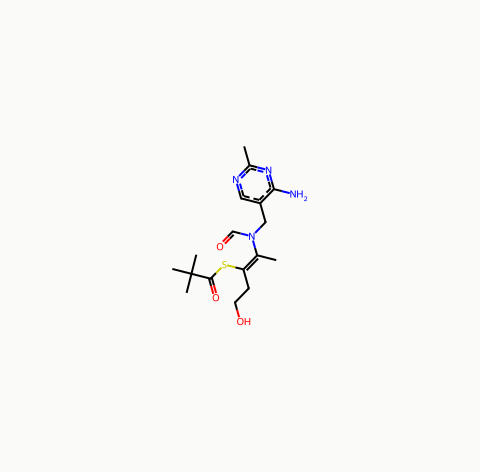 C/C(=C(\CCO)SC(=O)C(C)(C)C)N(C=O)Cc1cnc(C)nc1N